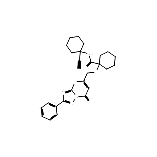 C#CC1(NC(=O)C2(OCc3cc(=O)n4nc(-c5ccccc5)nc4[nH]3)CCCCC2)CCCCC1